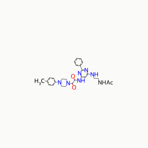 CC(=O)NCCNc1cc(NC(=O)C(=O)N2CCN(c3ccc(C)cc3)CC2)nc(-c2ccccc2)n1